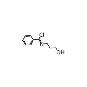 OCCCN=C(Cl)c1ccccc1